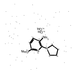 COc1ccc(N)c(N2CCCC2)n1.Cl.Cl